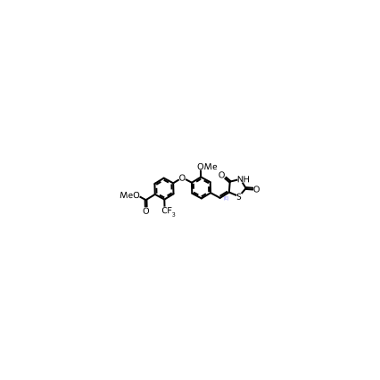 COC(=O)c1ccc(Oc2ccc(/C=C3/SC(=O)NC3=O)cc2OC)cc1C(F)(F)F